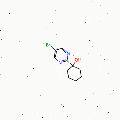 OC1(c2ncc(Br)cn2)CCCCC1